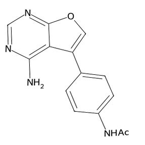 CC(=O)Nc1ccc(-c2coc3ncnc(N)c23)cc1